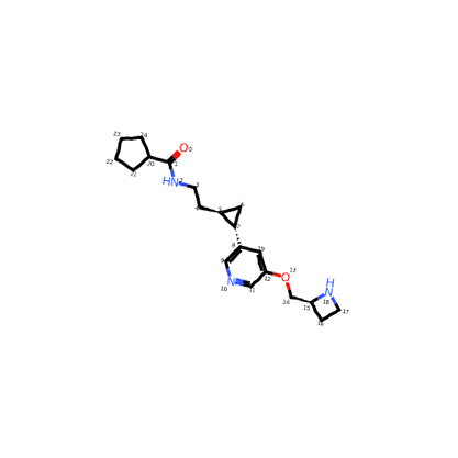 O=C(NCC[C@H]1C[C@@H]1c1cncc(OC[C@@H]2CCN2)c1)C1CCCC1